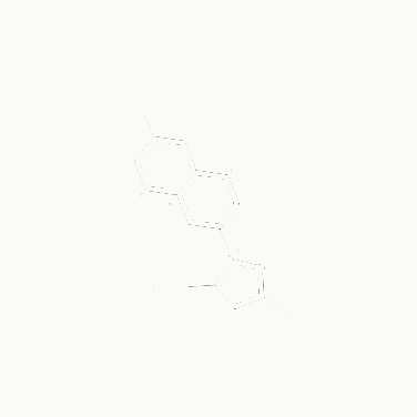 CCOC(=O)c1cc(C)nn1-c1ccc2cc(Br)ccc2c1